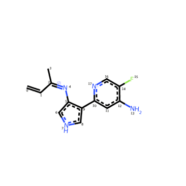 C=C/C(C)=N\c1c[nH]cc1-c1cc(N)c(F)cn1